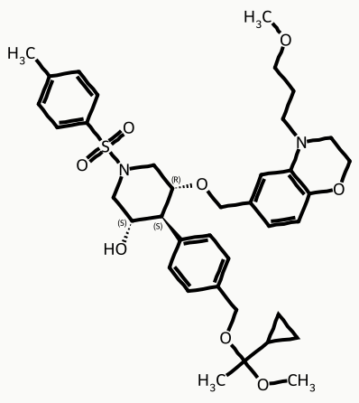 COCCCN1CCOc2ccc(CO[C@H]3CN(S(=O)(=O)c4ccc(C)cc4)C[C@@H](O)[C@@H]3c3ccc(COC(C)(OC)C4CC4)cc3)cc21